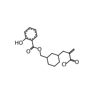 C=C(CC1CCCC(COC(=O)c2ccccc2O)C1)C(=O)Cl